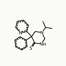 CC(C)N1CNC(=S)C(c2ccccc2)(c2ccccn2)C1